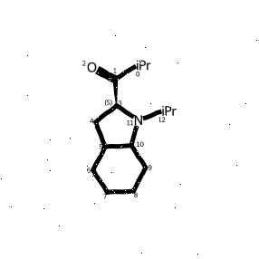 CC(C)C(=O)[C@@H]1CC2CCCCC2N1C(C)C